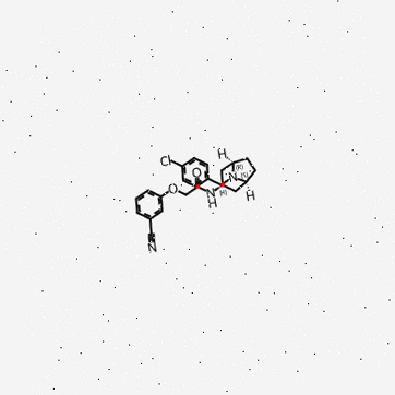 N#Cc1cccc(OCC(=O)N[C@H]2C[C@H]3CC[C@@H](C2)N3Cc2ccc(Cl)cc2)c1